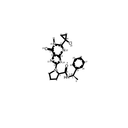 C[C@@H](NC(=O)C1CCCN1c1nc2c(=O)n(C)c(C3(Cl)CC3)nc2s1)c1ccccc1